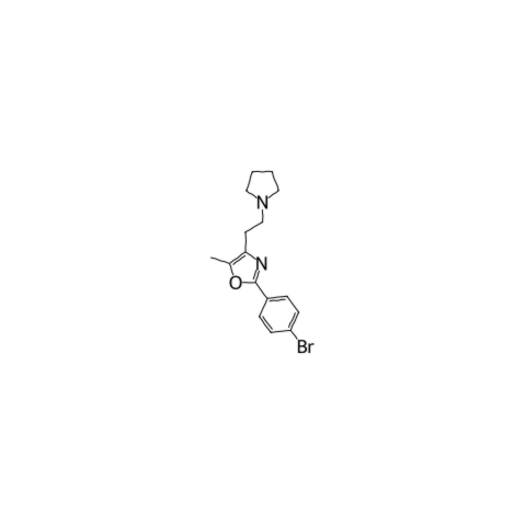 Cc1oc(-c2ccc(Br)cc2)nc1CCN1CCCC1